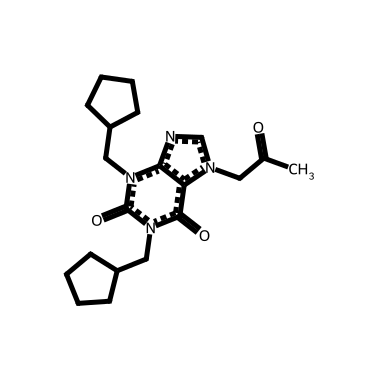 CC(=O)Cn1cnc2c1c(=O)n(CC1CCCC1)c(=O)n2CC1CCCC1